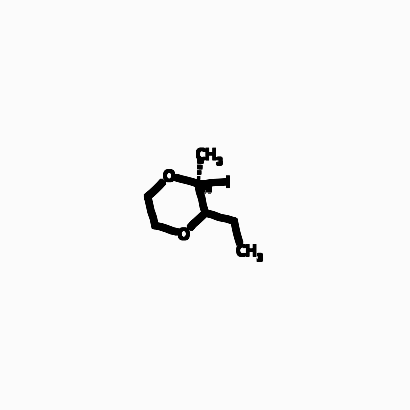 CCC1OCCO[C@@]1(C)I